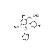 COc1cc(C(C)C)c(/C=C/C=O)c(-c2ccc(F)cc2)c1OCc1ccccn1